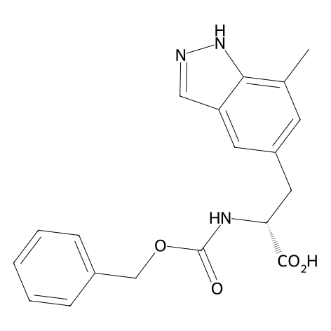 Cc1cc(C[C@@H](NC(=O)OCc2ccccc2)C(=O)O)cc2cn[nH]c12